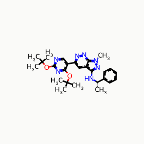 C[C@H](Nc1nn(C)c2nnc(-c3cnc(OC(C)(C)C)nc3OC(C)(C)C)cc12)c1ccccc1